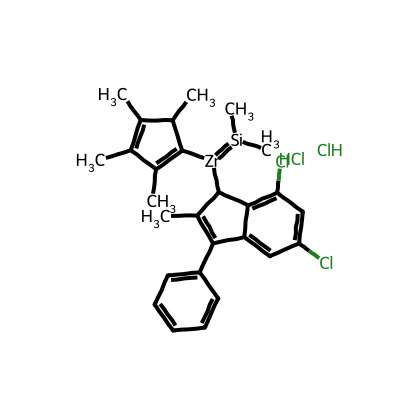 CC1=C(C)C(C)[C]([Zr]([CH]2C(C)=C(c3ccccc3)c3cc(Cl)cc(Cl)c32)=[Si](C)C)=C1C.Cl.Cl